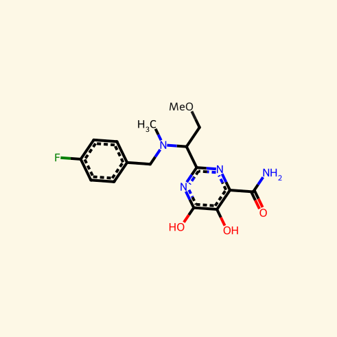 COCC(c1nc(O)c(O)c(C(N)=O)n1)N(C)Cc1ccc(F)cc1